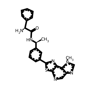 C[C@H](NC(=O)[C@H](N)c1ccccc1)c1cccc(-c2nc3c(ncc4ncn(C)c43)s2)c1